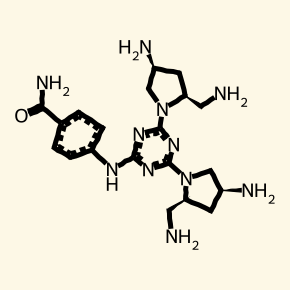 NC[C@@H]1C[C@H](N)CN1c1nc(Nc2ccc(C(N)=O)cc2)nc(N2C[C@@H](N)C[C@H]2CN)n1